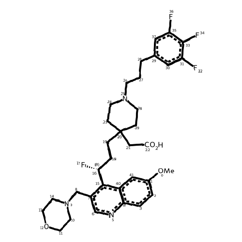 COc1ccc2ncc(CN3CCOCC3)c([C@H](F)CCC3(CC(=O)O)CCN(CCCc4cc(F)c(F)c(F)c4)CC3)c2c1